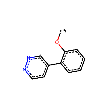 CCCOc1ccccc1-c1[c]nncc1